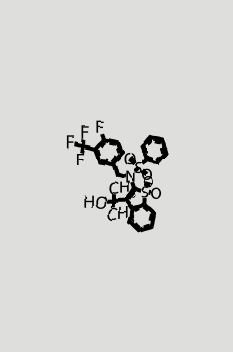 CC(C)(O)C1=C(N(Cc2ccc(F)c(C(F)(F)F)c2)S(=O)(=O)c2ccccc2)S(=O)(=O)c2ccccc21